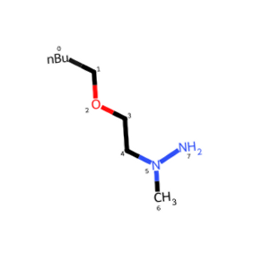 CCCCCOCCN(C)N